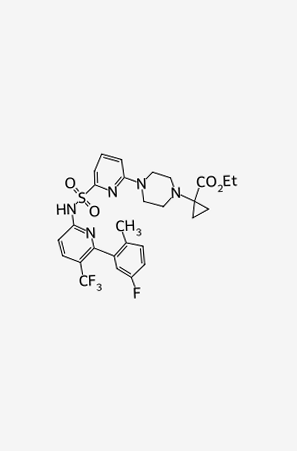 CCOC(=O)C1(N2CCN(c3cccc(S(=O)(=O)Nc4ccc(C(F)(F)F)c(-c5cc(F)ccc5C)n4)n3)CC2)CC1